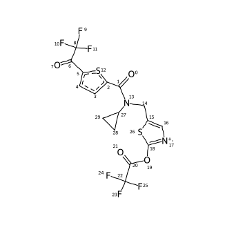 O=C(c1ccc(C(=O)C(F)(F)F)s1)N(CC1=C[N+]=C(OC(=O)C(F)(F)F)S1)C1CC1